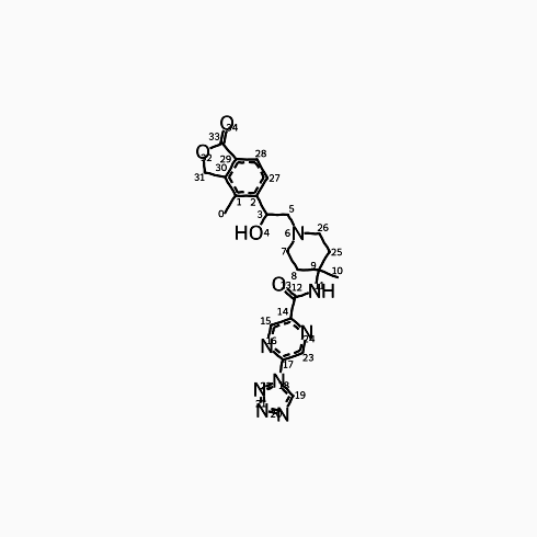 Cc1c(C(O)CN2CCC(C)(NC(=O)c3cnc(-n4cnnn4)cn3)CC2)ccc2c1COC2=O